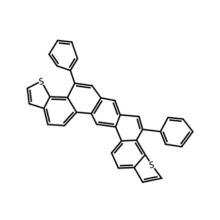 c1ccc(-c2cc3cc4cc(-c5ccccc5)c5c(ccc6ccsc65)c4cc3c3ccc4ccsc4c23)cc1